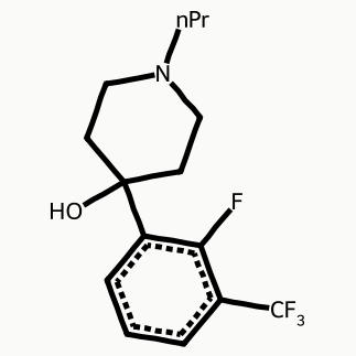 CCCN1CCC(O)(c2cccc(C(F)(F)F)c2F)CC1